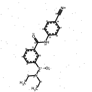 CCN(CC)[S@@+]([O-])c1cccc(C(=O)Nc2ccc(C#N)cc2)c1